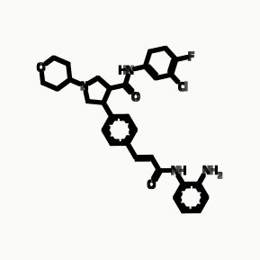 Nc1ccccc1NC(=O)/C=C/c1ccc(C2CN(C3CCOCC3)CC2C(=O)NC2=CC(Cl)=C(F)CC2)cc1